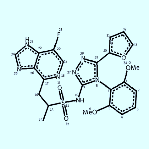 COc1cccc(OC)c1-n1c(NS(=O)(=O)C(C)Cc2ncc(F)c3[nH]cnc23)nnc1-c1ccco1